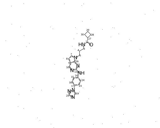 O=C(NCCCn1ccc2cnc(Nc3ccc(-n4cncn4)cc3)nc21)C1CCC1